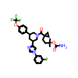 CC(C)(CCC1(C(=O)N2CC(c3ccc(OC(F)(F)F)cc3)CC(c3cn(-c4cccc(F)c4)cn3)C2)CC1)OC(N)=O